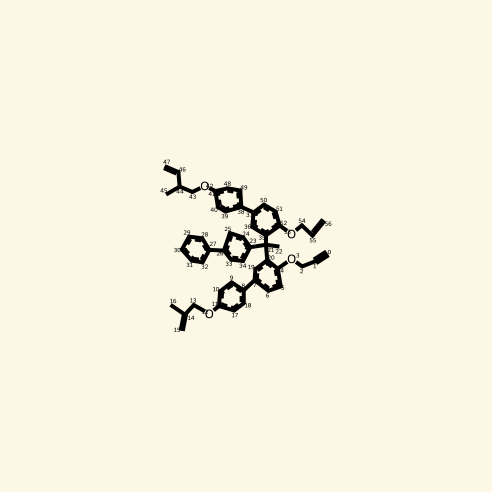 C#CCOc1ccc(-c2ccc(OCC(=C)C)cc2)cc1C(C)(c1ccc(-c2ccccc2)cc1)c1cc(-c2ccc(OCC(C)C=C)cc2)ccc1OCC=C